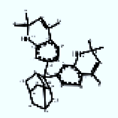 CC1=CC(C)(C)Nc2cc(C3(c4ccc5c(c4)NC(C)(C)C=C5C)C4CC5CC(C4)CC3C5)ccc21